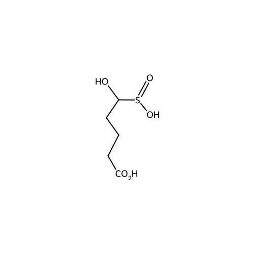 O=C(O)CCCC(O)S(=O)O